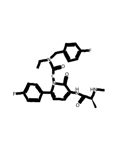 CCN(Cc1ccc(F)cc1)C(=O)Cn1c(-c2ccc(F)cc2)ccc(NC(=O)[C@H](C)NC)c1=O